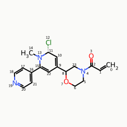 C=CC(=O)N1CCOC(C2=C[C@@H](Cl)N(C)C(c3ccncc3)=C2)C1